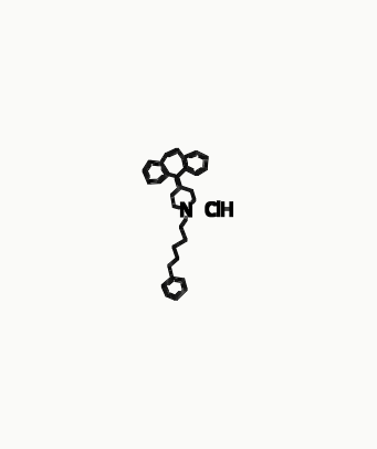 C1=Cc2ccccc2C(=C2CCN(CCCCCCc3ccccc3)CC2)c2ccccc21.Cl